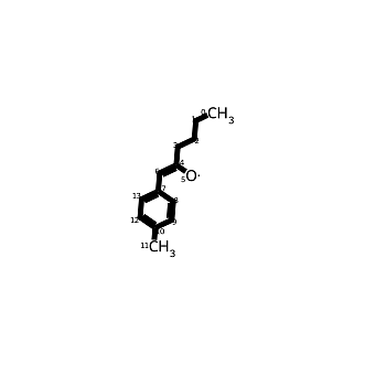 CCCCC([O])=Cc1ccc(C)cc1